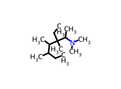 CCC(C)C(C)C(C)(CC)C(C)N(C)C